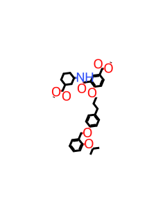 COC(=O)c1ccc(OCCCc2ccc(OCc3ccccc3OC(C)C)cc2)c(C(=O)NC2CCCC(C(=O)OC)C2)c1